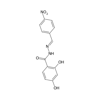 O=C(NN=Cc1ccc([N+](=O)[O-])cc1)c1ccc(O)cc1O